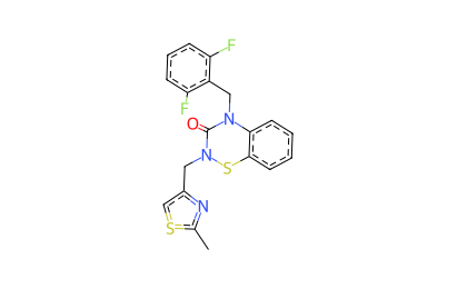 Cc1nc(CN2Sc3ccccc3N(Cc3c(F)cccc3F)C2=O)cs1